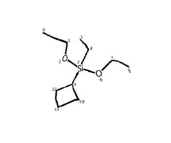 CCO[Si](CC)(OCC)C1CCC1